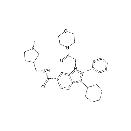 CN1CCC(CNC(=O)c2ccc3c(C4CCCCC4)c(-c4ccccc4)n(CC(=O)N4CCOCC4)c3c2)C1